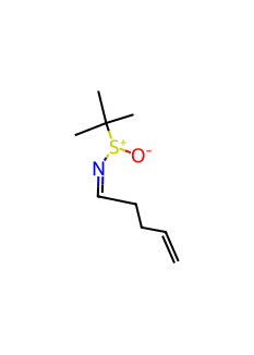 C=CCC/C=N\[S+]([O-])C(C)(C)C